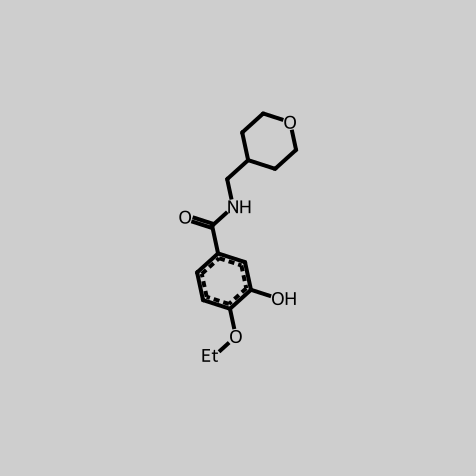 CCOc1ccc(C(=O)NCC2CCOCC2)cc1O